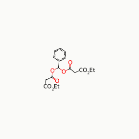 CCOC(=O)CC(=O)OC(OC(=O)CC(=O)OCC)c1ccccc1